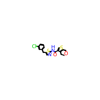 O=C(Nc1ncc(Cc2cccc(Cl)c2)s1)c1csc2c1CCOC2